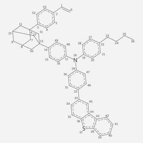 C=Cc1ccc(C23CC4CC(C2)CC(c2ccc(N(c5ccc(CCCC)cc5)c5ccc(-c6ccc7sc8ccccc8c7c6)cc5)cc2)(C4)C3)cc1